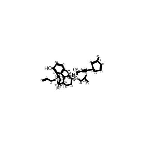 C=CCN1CC[C@@]23c4c5ccc(O)c4C[C@@H]1[C@@H]2CC[C@H](N(CC(C)C)C(=O)C#Cc1cccc(C)c1)[C@@H]3O5